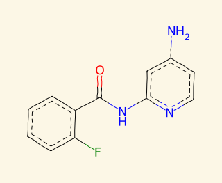 Nc1ccnc(NC(=O)c2ccccc2F)c1